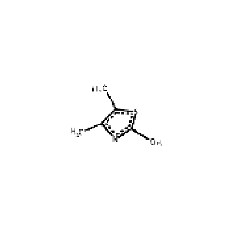 Cc1nc(O)sc1C